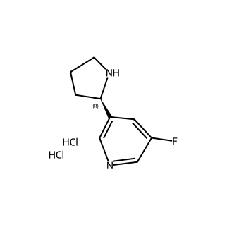 Cl.Cl.Fc1cncc([C@H]2CCCN2)c1